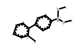 CO[SiH](OC)c1ccc(-c2ccccc2C)cc1